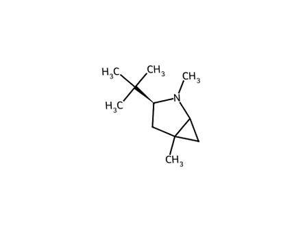 CN1C2CC2(C)C[C@H]1C(C)(C)C